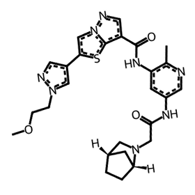 COCCn1cc(-c2cn3ncc(C(=O)Nc4cc(NC(=O)CN5C[C@H]6CC[C@@H]5C6)cnc4C)c3s2)cn1